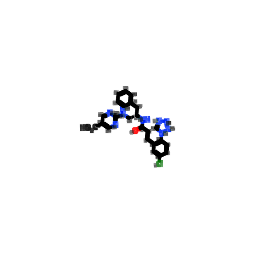 O=C(/C=C/c1cc(Cl)ccc1-n1cnnn1)N[C@H](CNc1ncc(C(=O)O)cn1)Cc1ccccc1